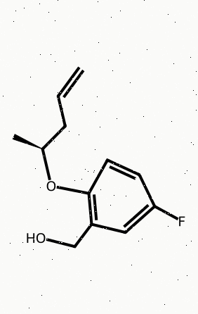 C=CC[C@H](C)Oc1ccc(F)cc1CO